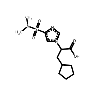 CN(C)S(=O)(=O)c1cn(C(CC2CCCC2)C(=O)O)cn1